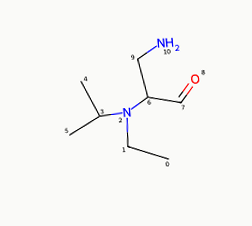 CCN(C(C)C)C(C=O)CN